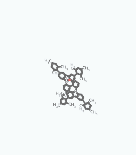 Cc1cc(C)c(-c2ccc3c(c2)c2cc(-c4c(C)cc(C)cc4C)ccc2n3-c2ccc(C#N)cc2-c2c(C#N)cccc2-n2c3ccc(-c4c(C)cc(C)cc4C)cc3c3cc(-c4c(C)cc(C)cc4C)ccc32)c(C)c1